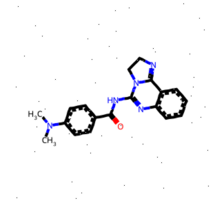 CN(C)c1ccc(C(=O)NC2=Nc3ccccc3C3=NCCN23)cc1